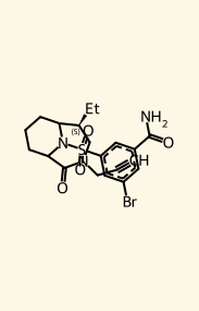 C#CCN1C[C@H](CC)C2CCCC(C1=O)N2S(=O)(=O)c1cc(Br)cc(C(N)=O)c1